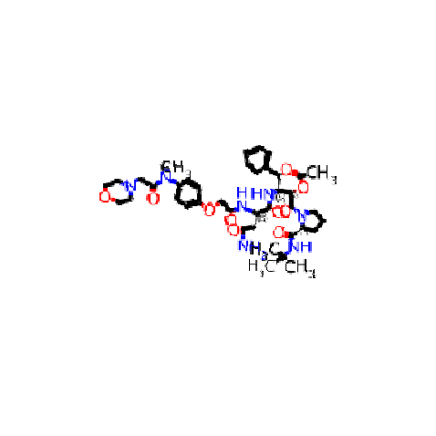 CC(=O)O[C@H](C(=O)N1CCC[C@H]1C(=O)NC(C)(C)C)[C@H](Cc1ccccc1)NC(=O)[C@H](CC(N)=O)NC(=O)COc1ccc(N(C)C(=O)CN2CCOCC2)cc1